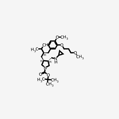 COCCCOc1cc(C[C@@H](C[C@@H]2CN(C(=O)OC(C)(C)C)C[C@H]2CNC2CC2)C(C)C)ccc1OC